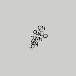 CN(CC(=O)NC(C(=O)N1Cc2ccccc2CC1CO)C(C)(C)C)C(=O)OC(C)(C)C